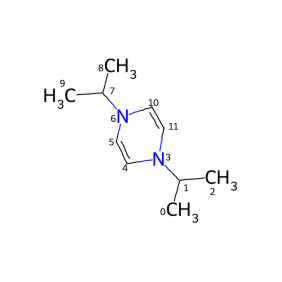 CC(C)N1C=CN(C(C)C)C=C1